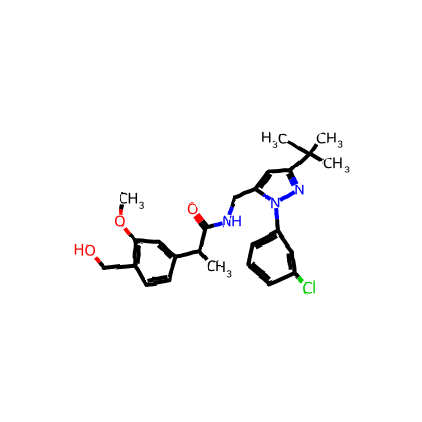 COc1cc(C(C)C(=O)NCc2cc(C(C)(C)C)nn2-c2cccc(Cl)c2)ccc1CO